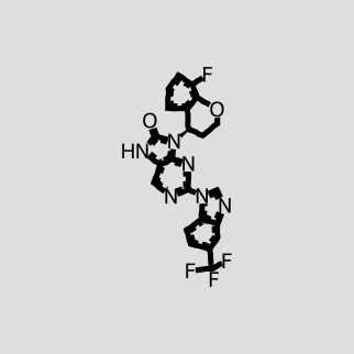 O=c1[nH]c2cnc(-n3cnc4cc(C(F)(F)F)ccc43)nc2n1[C@@H]1CCOc2c(F)cccc21